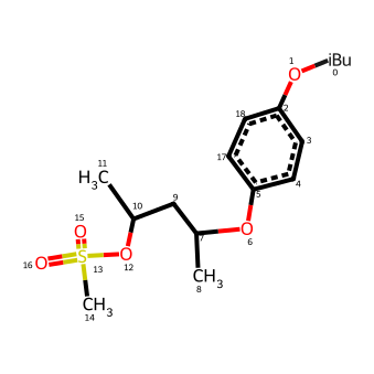 CCC(C)Oc1ccc(OC(C)CC(C)OS(C)(=O)=O)cc1